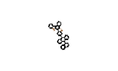 c1ccc2c(-c3c4ccccc4c(-c4ccc5c(c4)sc4c6ccccc6c6c7ccccc7sc6c54)c4ccccc34)cccc2c1